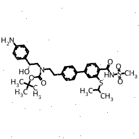 CC(C)Sc1cc(-c2ccc(CCN(C[C@H](O)c3ccc(N)cc3)C(=O)OC(C)(C)C)cc2)ccc1C(=O)NS(C)(=O)=O